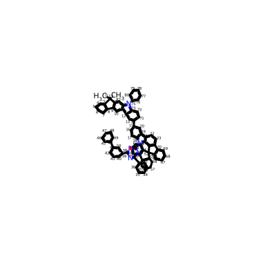 CC1(C)c2ccccc2-c2cc3c4cc(-c5ccc6c(c5)c5ccc7c(c5n6-c5nc(-c6ccccc6)nc(-c6cccc(-c8ccccc8)c6)n5)C5(C6=C(C=CCC6)c6ccccc65)c5ccccc5-7)ccc4n(-c4ccccc4)c3cc21